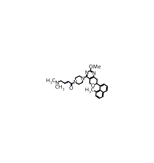 COc1nc2c(c(N3CCN(C(=O)/C=C/CN(C)C)CC3)n1)COC(c1cccc3cccc(C)c13)C2